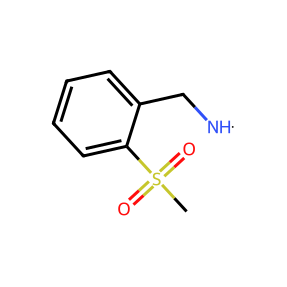 CS(=O)(=O)c1ccccc1C[NH]